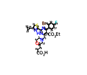 CCOC(=O)C1=C(CN2CCO[C@H](CCC(=O)O)C2)NC(c2nc(C3CC3)cs2)=N[C@H]1c1ccc(F)cc1Br